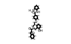 Nc1ccccc1NC(=O)c1ccc(OCCCN(Cc2ccccc2O)C(=O)c2cc3ccccc3o2)cc1